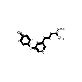 CN[C@H](C)C/C=C/c1cncc(Oc2ccc(Cl)cc2)c1